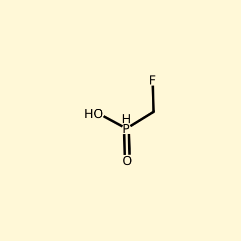 O=[PH](O)CF